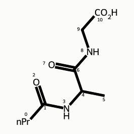 CCCC(=O)NC(C)C(=O)NCC(=O)O